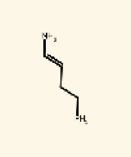 NC=CCCP